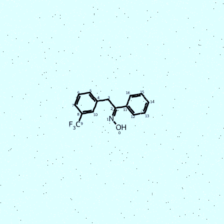 ON=C(Cc1cccc(C(F)(F)F)c1)c1ccccc1